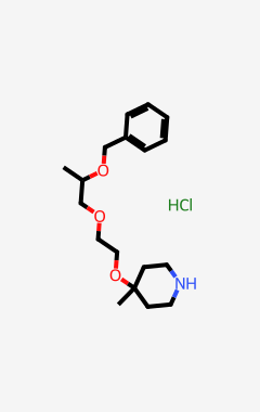 CC(COCCOC1(C)CCNCC1)OCc1ccccc1.Cl